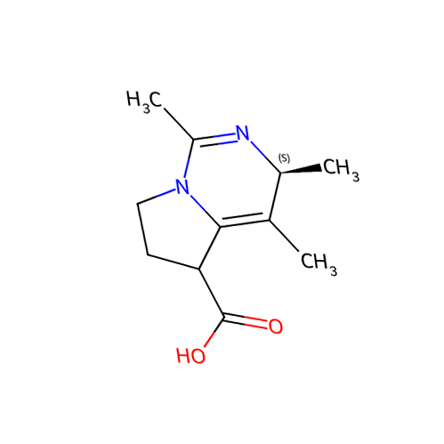 CC1=N[C@@H](C)C(C)=C2C(C(=O)O)CCN12